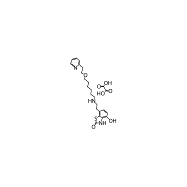 O=C(O)C(=O)O.O=c1[nH]c2c(O)ccc(CCNCCCCCCOCCc3ccccn3)c2s1